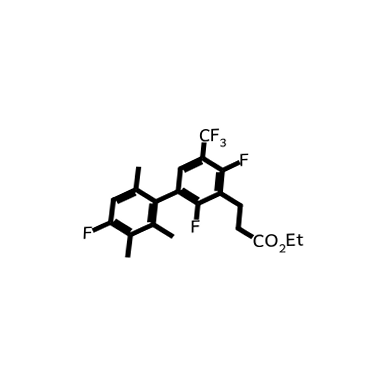 CCOC(=O)CCc1c(F)c(-c2c(C)cc(F)c(C)c2C)cc(C(F)(F)F)c1F